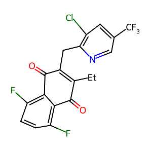 CCC1=C(Cc2ncc(C(F)(F)F)cc2Cl)C(=O)c2c(F)ccc(F)c2C1=O